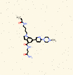 C=CC(=O)NCCCCn1ccc2c(C(=O)NCCC(N)=O)cc(-c3ccc(N4CCN(C)CC4)nc3)cc21